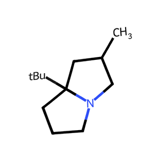 CC1CN2CCCC2(C(C)(C)C)C1